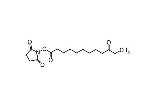 CCC(=O)CCCCCCCCC(=O)ON1C(=O)CCC1=O